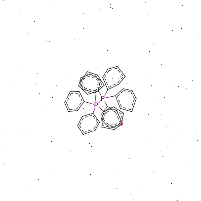 c1ccc(P(c2ccccc2)(c2ccccc2)(c2ccccc2)P(c2ccccc2)(c2ccccc2)(c2ccccc2)c2ccccc2)cc1